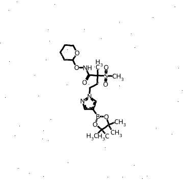 CC1(C)OB(c2cnn(CCC(C)(C(=O)NOC3CCCCO3)S(C)(=O)=O)c2)OC1(C)C